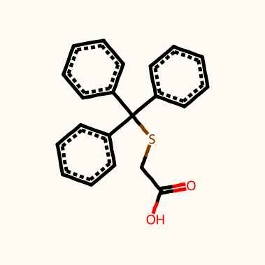 O=C(O)CSC(c1ccccc1)(c1ccccc1)c1ccccc1